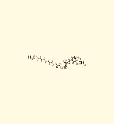 CCCCCCCCCCCCCCCC1OC1C(=O)OCC(CC)CCCC